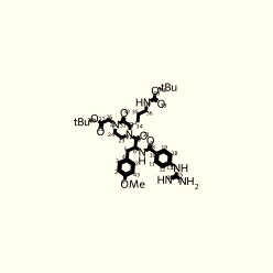 COc1ccc(CC(NC(=O)c2ccc(NC(=N)N)cc2)C(=O)N2CCN(CC(=O)OC(C)(C)C)C(=O)[C@@H]2CCCNC(=O)OC(C)(C)C)cc1